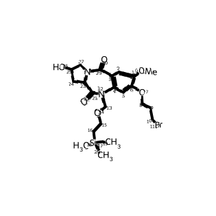 COc1cc2c(cc1OCCCBr)N(COCC[Si](C)(C)C)C(=O)C1CC(O)CN1C2=O